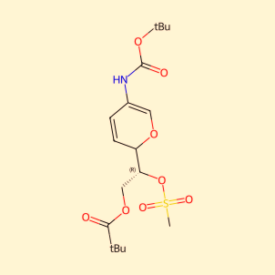 CC(C)(C)OC(=O)NC1=COC([C@@H](COC(=O)C(C)(C)C)OS(C)(=O)=O)C=C1